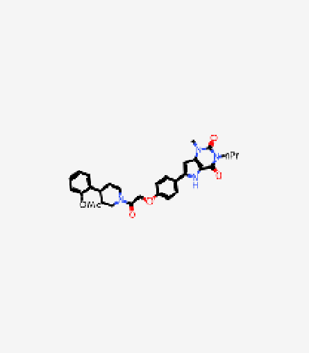 CCCn1c(=O)c2[nH]c(-c3ccc(OCC(=O)N4CCC(c5ccccc5OC)CC4)cc3)cc2n(C)c1=O